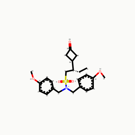 CC[C@H](CS(=O)(=O)N(Cc1ccc(OC)cc1)Cc1ccc(OC)cc1)C1CC(=O)C1